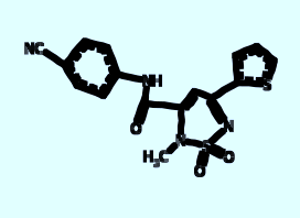 CN1C(C(=O)Nc2ccc(C#N)cc2)=CC(c2cccs2)=NS1(=O)=O